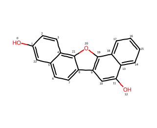 Oc1ccc2c(ccc3c4cc(O)c5ccccc5c4oc23)c1